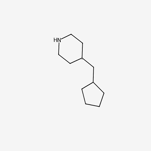 C1CCC(C[C]2CCNCC2)C1